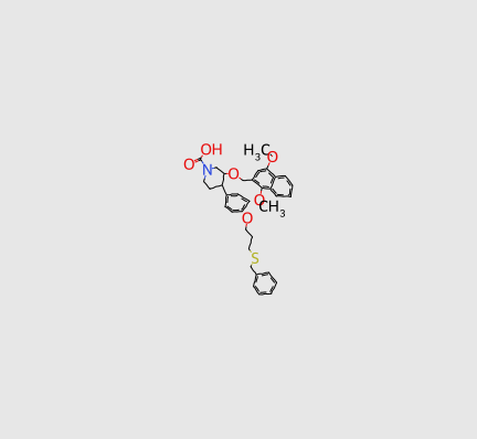 COc1cc(COC2CN(C(=O)O)CCC2c2ccc(OCCCSCc3ccccc3)cc2)c(OC)c2ccccc12